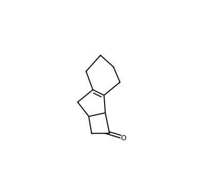 O=C1CC2CC3=C(CCCC3)C12